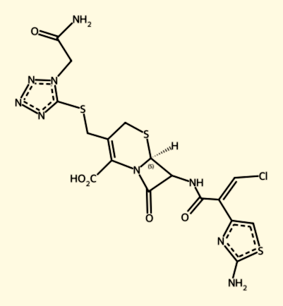 NC(=O)Cn1nnnc1SCC1=C(C(=O)O)N2C(=O)C(NC(=O)C(=CCl)c3csc(N)n3)[C@@H]2SC1